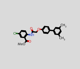 COC(=O)c1cc(Cl)ccc1NC(=O)COc1ccc(-c2cc(C)cc(C)c2)cc1